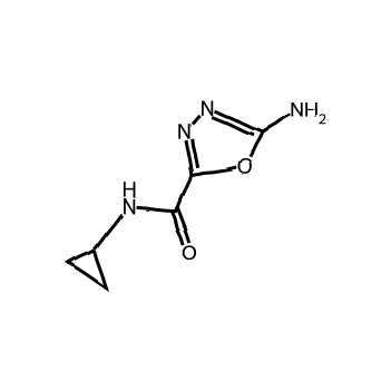 Nc1nnc(C(=O)NC2CC2)o1